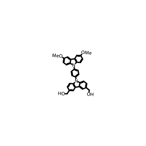 COc1ccc2c(c1)c1cc(OC)ccc1n2-c1ccc(-n2c3ccc(CO)cc3c3cc(CO)ccc32)cc1